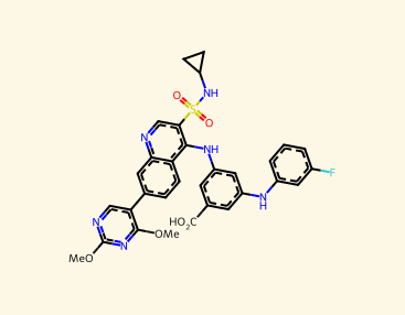 COc1ncc(-c2ccc3c(Nc4cc(Nc5cccc(F)c5)cc(C(=O)O)c4)c(S(=O)(=O)NC4CC4)cnc3c2)c(OC)n1